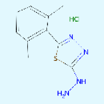 Cc1cccc(C)c1-c1nnc(NN)s1.Cl